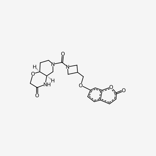 O=C1CO[C@H]2CCN(C(=O)N3CC(COc4ccc5ccc(=O)oc5c4)C3)C[C@H]2N1